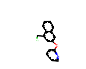 ClCc1cc(Oc2ccccn2)cc2ccccc12